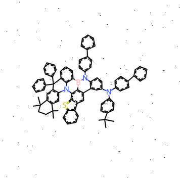 CC(C)(C)c1ccc(N(c2ccc(-c3ccccc3)cc2)c2ccc3c(c2)-c2cc4c(sc5ccccc54)c4c2B(c2cccc5c2N4c2cc4c(cc2C5(c2ccccc2)c2ccccc2)C(C)(C)CCC4(C)C)N3c2ccc(-c3ccccc3)cc2)cc1